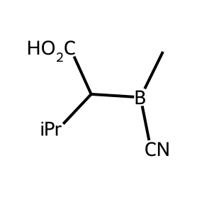 CB(C#N)C(C(=O)O)C(C)C